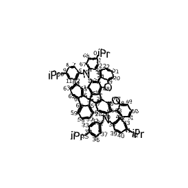 CC(C)c1ccc(N(c2ccc(C(C)C)cc2)c2cc3c(c4oc5ccccc5c24)-c2c(cc(N(c4ccc(C(C)C)cc4)c4ccc(C(C)C)cc4)c4c2oc2ccccc24)C32c3ccccc3-c3ccccc32)cc1